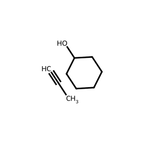 C#CC.OC1CCCCC1